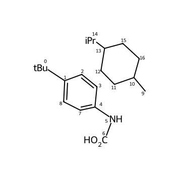 CC(C)(C)c1ccc(NC(=O)O)cc1.CC1CCC(C(C)C)CC1